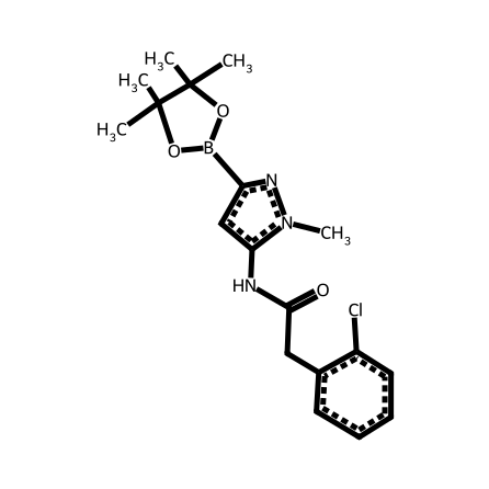 Cn1nc(B2OC(C)(C)C(C)(C)O2)cc1NC(=O)Cc1ccccc1Cl